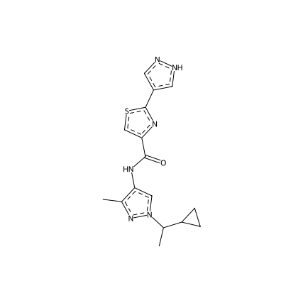 Cc1nn(C(C)C2CC2)cc1NC(=O)c1csc(-c2cn[nH]c2)n1